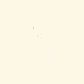 CCc1cc(OCC=C(Cl)Cl)cc(CC)c1OCCCOCC=NOC(C)(C)C